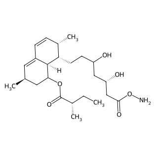 CC[C@H](C)C(=O)OC1C[C@@H](C)C=C2C=C[C@H](C)[C@H](CCC(O)C[C@H](O)CC(=O)ON)[C@H]21